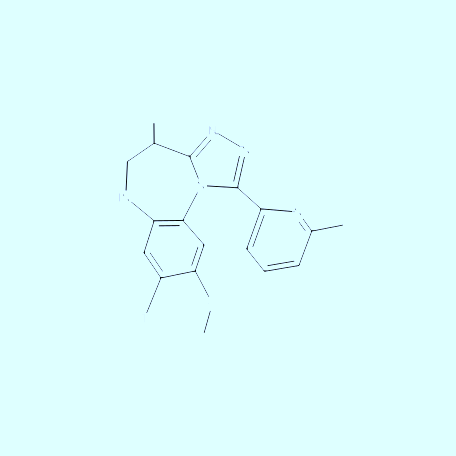 COc1cc2c(cc1Cl)NCC(C)c1nnc(-c3cccc(C)n3)n1-2